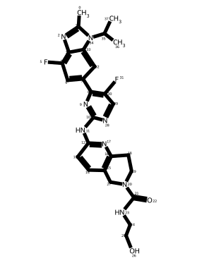 Cc1nc2c(F)cc(-c3nc(Nc4ccc5c(n4)CCN(C(=O)NCCO)C5)ncc3F)cc2n1C(C)C